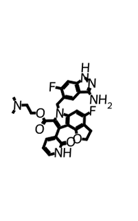 CN(C)CCOC(=O)c1c(-c2ccc[nH]c2=O)c2c3c(c(F)cc2n1Cc1cc2c(N)n[nH]c2cc1F)CCO3